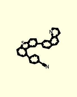 N#Cc1ccc(-c2cccc3sc4ccc(-c5ccc6ccc7cccnc7c6c5)cc4c23)cc1